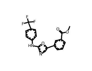 COC(=O)c1cccc(-c2cnc(Nc3ccc(C(F)(F)F)cc3)o2)c1